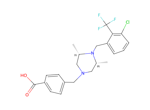 C[C@@H]1CN(Cc2ccc(C(=O)O)cc2)C[C@H](C)N1Cc1cccc(Cl)c1C(F)(F)F